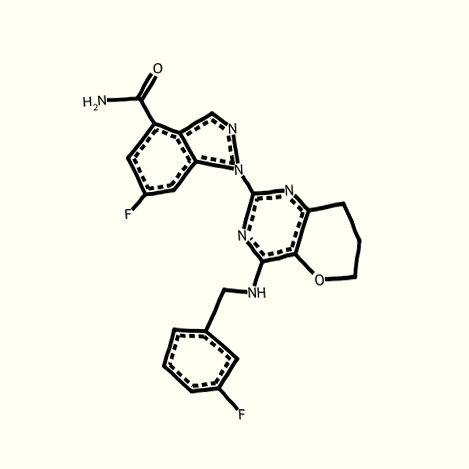 NC(=O)c1cc(F)cc2c1cnn2-c1nc2c(c(NCc3cccc(F)c3)n1)OCCC2